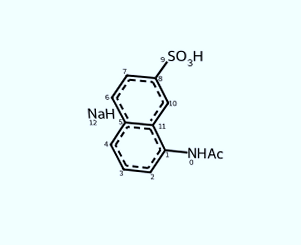 CC(=O)Nc1cccc2ccc(S(=O)(=O)O)cc12.[NaH]